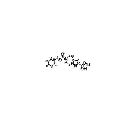 CCOC(O)c1cc2n(n1)CCN(C(=O)OCc1ccccc1)CC2